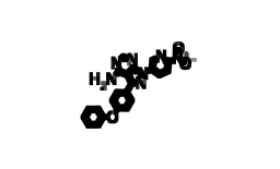 Nc1ncnc2c1c(-c1ccc(Oc3ccccc3)cc1)nn2-c1ccc([N+](=O)[O-])nc1